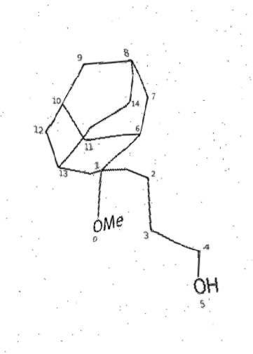 COC1(CCCO)C2CC3CC(C2)CC1C3